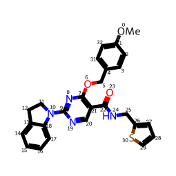 COc1ccc(COc2nc(N3CCc4ccccc43)ncc2C(=O)NCc2cccs2)cc1